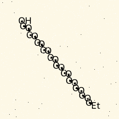 CCOOOOOOOOOOOOOOOOOOOOOO